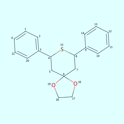 c1ccc(C2CC3(CC(c4ccccc4)S2)OCCO3)cc1